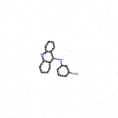 COc1cccc(Nc2c3ccccc3nc3ccccc23)c1